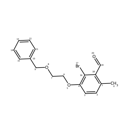 Cc1ccc(OCCOCc2ccccc2)c(Br)c1C=O